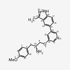 COc1ccc(C[C@H](N)COc2cncc(-c3ccc4[nH]nc(C)c4c3)c2)cc1